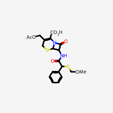 COCSC(C(=O)NC1C(=O)N2C(C(=O)O)=C(COC(C)=O)CSC12)c1ccccc1